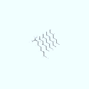 CCCCCCC.CCCCCCC.CCCCCCC.CCCCCCC.CCCCCCCC(Cl)Cl